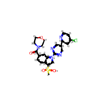 CS(=O)(=O)c1cn(-c2ncc(-c3cc(Cl)ccn3)cn2)c2cc(C(=O)N3CCOCC3)ccc12